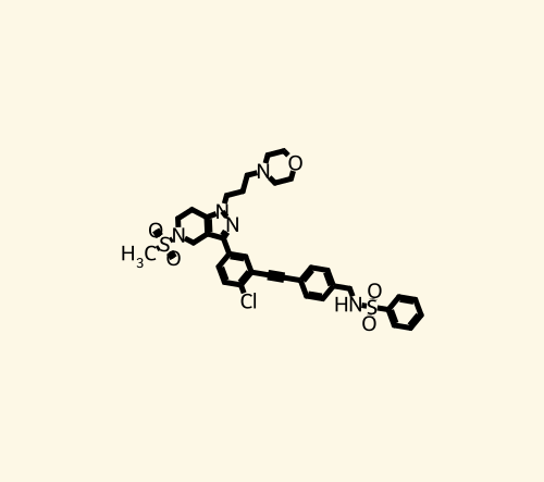 CS(=O)(=O)N1CCc2c(c(-c3ccc(Cl)c(C#Cc4ccc(CNS(=O)(=O)c5ccccc5)cc4)c3)nn2CCCN2CCOCC2)C1